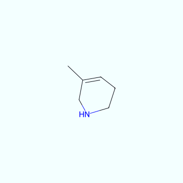 CC1=CCCNC1